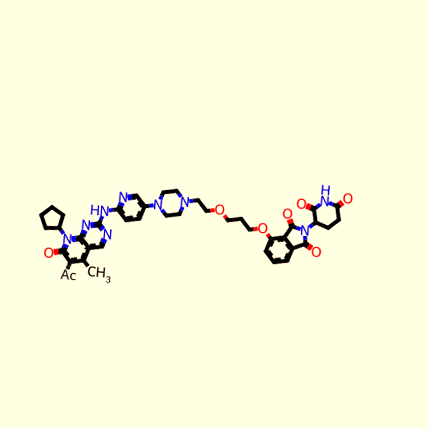 CC(=O)c1c(C)c2cnc(Nc3ccc(N4CCN(CCOCCCOc5cccc6c5C(=O)N(C5CCC(=O)NC5=O)C6=O)CC4)cn3)nc2n(C2CCCC2)c1=O